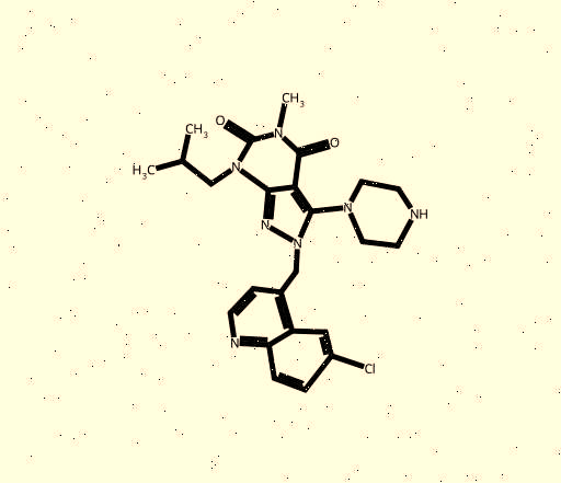 CC(C)Cn1c(=O)n(C)c(=O)c2c(N3CCNCC3)n(Cc3ccnc4ccc(Cl)cc34)nc21